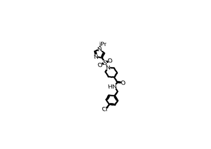 CC(C)n1cnc(S(=O)(=O)N2CCC(C(=O)NCc3ccc(Cl)cc3)CC2)c1